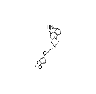 c1cc2c3c(c[nH]c3c1)CC1CN(CCCOc3ccc4c(c3)OCO4)CCN21